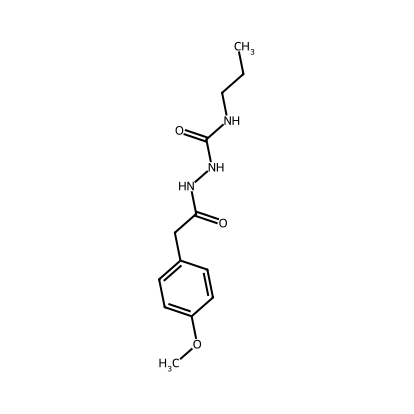 CCCNC(=O)NNC(=O)Cc1ccc(OC)cc1